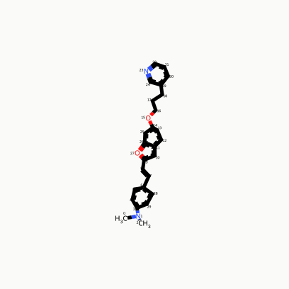 CN(C)c1ccc(/C=C/c2cc3ccc(OCCCc4cccnc4)cc3o2)cc1